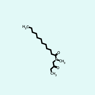 CCCCCCCCCCCC(=O)N(C)CC(=O)CC